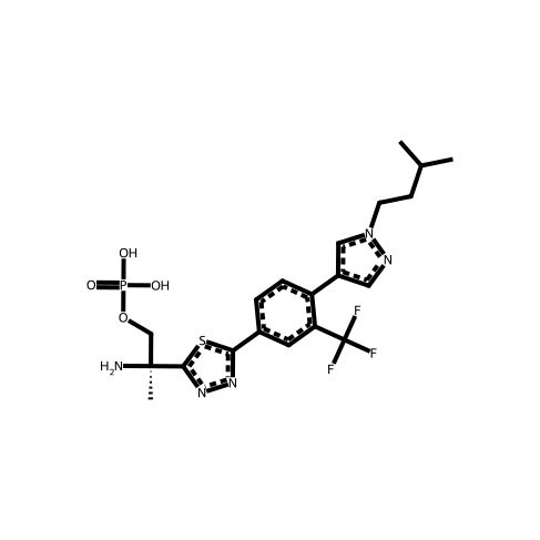 CC(C)CCn1cc(-c2ccc(-c3nnc([C@@](C)(N)COP(=O)(O)O)s3)cc2C(F)(F)F)cn1